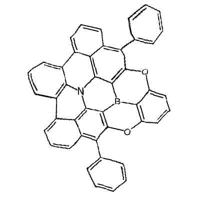 c1ccc(-c2c3c4c5c6c(cccc26)-c2cccc6c2N5c2c5c(c(-c7ccccc7)c7cccc-6c27)Oc2cccc(c2B45)O3)cc1